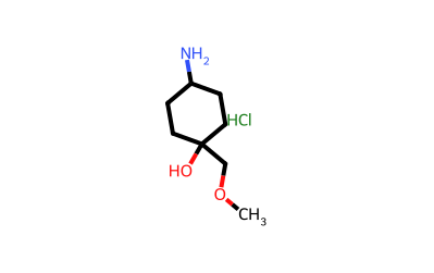 COCC1(O)CCC(N)CC1.Cl